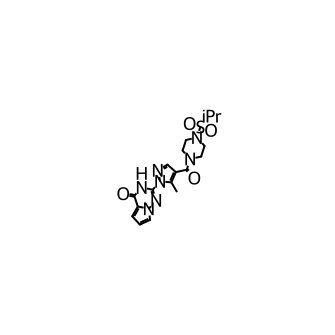 Cc1c(C(=O)N2CCN(S(=O)(=O)C(C)C)CC2)cnn1-c1nn2cccc2c(=O)[nH]1